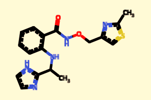 Cc1nc(CONC(=O)c2ccccc2NC(C)c2ncc[nH]2)cs1